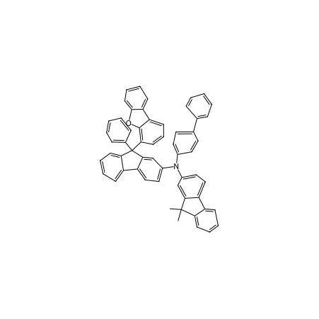 CC1(C)c2ccccc2-c2ccc(N(c3ccc(-c4ccccc4)cc3)c3ccc4c(c3)C(c3ccccc3)(c3cccc5c3oc3ccccc35)c3ccccc3-4)cc21